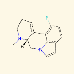 CN1CCC=C2c3c(F)ccc4ccn(c34)C[C@@H]21